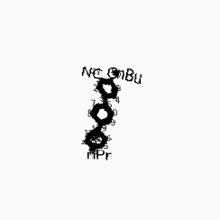 CCCCOc1ccc(-c2ccc(C34CCC(CCC)(CC3)CC4)cc2)cc1C#N